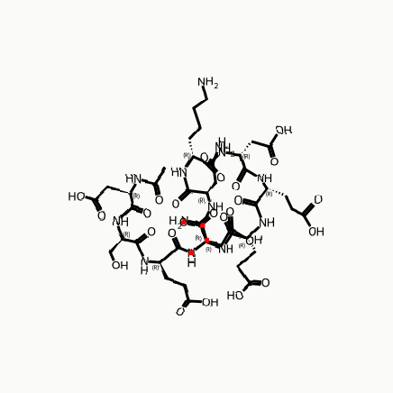 CC(=O)N[C@H](CC(=O)O)C(=O)N[C@H](CO)C(=O)N[C@H](CCC(=O)O)C(=O)N[C@H](CC(=O)O)C(=O)N[C@H](CC(N)=O)C(=O)N[C@H](CCCCN)C(=O)N[C@H](CC(=O)O)C(=O)N[C@H](CCC(=O)O)C(=O)N[C@H](CCC(=O)O)C(=O)N[C@H](C)C(N)=O